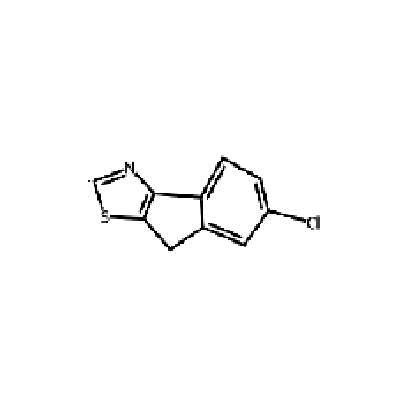 Clc1ccc2c(c1)Cc1s[c]nc1-2